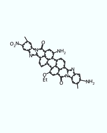 CCOc1cc2c(=O)n3c4cc(C)c(N)cc4nc3c3ccc4c5c(N)cc6c(=O)n7c8cc(C)c([N+](=O)[O-])cc8nc7c7ccc(c1c4c23)c5c67